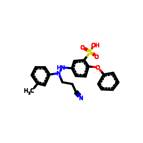 Cc1cccc(N(CCC#N)Nc2ccc(Oc3ccccc3)c(S(=O)(=O)O)c2)c1